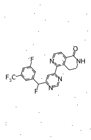 O=C1NCCc2c1ccnc2-c1cc(C(F)c2cc(F)cc(C(F)(F)F)c2)ncn1